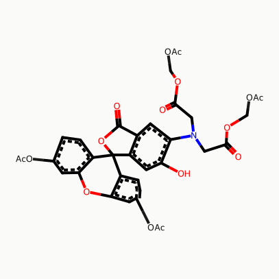 CC(=O)OCOC(=O)CN(CC(=O)OCOC(C)=O)c1cc2c(cc1O)C1(OC2=O)c2ccc(OC(C)=O)cc2Oc2cc(OC(C)=O)ccc21